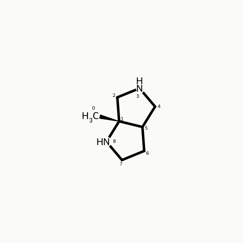 C[C@@]12CNCC1CCN2